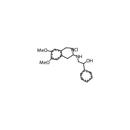 COc1cc2c(cc1OC)CC(NCC(O)c1ccccc1)CC2.Cl